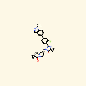 Cn1ncc2cc(-c3ccc(C4=NC5(CC5)C(=O)N4C[C@@H]4CCN(C(=O)C5(C)CC5)C4)c(F)c3)ccc21